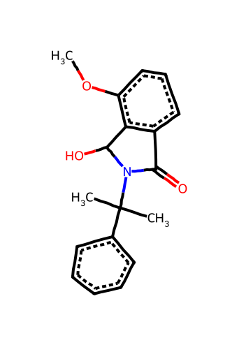 COc1cccc2c1C(O)N(C(C)(C)c1ccccc1)C2=O